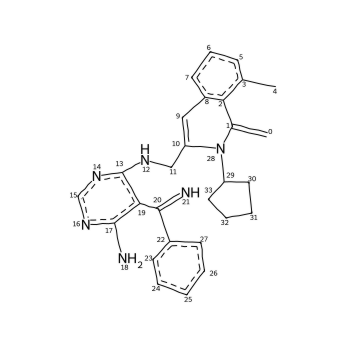 C=C1c2c(C)cccc2C=C(CNc2ncnc(N)c2C(=N)c2ccccc2)N1C1CCCC1